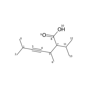 CC(C)C#CC(C)C(C(=O)O)C(C)C